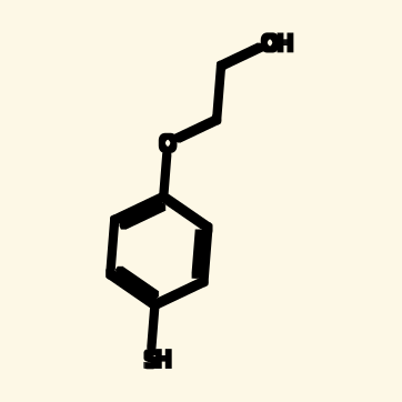 OCCOc1ccc(S)cc1